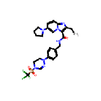 CCc1nc2ccc(N3CCCC3)cn2c1C(=O)NCc1ccc(N2CCN(S(=O)(=O)C(F)(F)F)C=N2)cc1